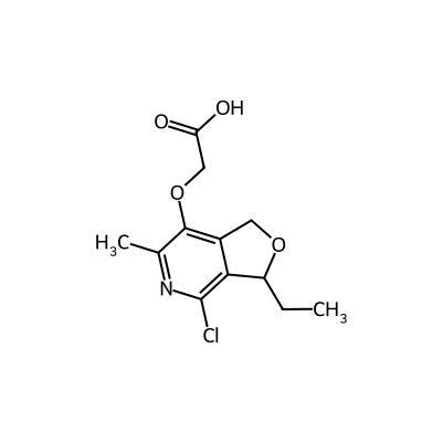 CCC1OCc2c(OCC(=O)O)c(C)nc(Cl)c21